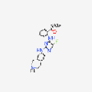 CCN1CCc2ccc(Nc3ncc(F)c(Nc4ccccc4C(=O)NC)n3)cc2CC1